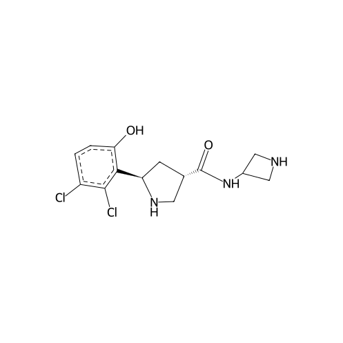 O=C(NC1CNC1)[C@@H]1CN[C@@H](c2c(O)ccc(Cl)c2Cl)C1